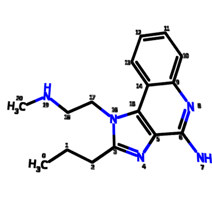 CCCc1nc2c(N)nc3ccccc3c2n1CCNC